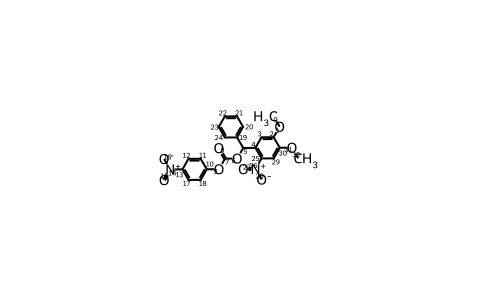 COc1cc(C(OC(=O)Oc2ccc([N+](=O)[O-])cc2)c2ccccc2)c([N+](=O)[O-])cc1OC